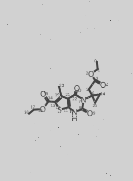 CCOC(=O)CC1(n2c(=O)[nH]c3sc(C(=O)OCC)c(C)c3c2=O)CC1